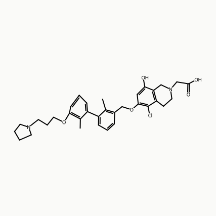 Cc1c(COc2cc(O)c3c(c2Cl)CCN(CC(=O)O)C3)cccc1-c1cccc(OCCCN2CCCC2)c1C